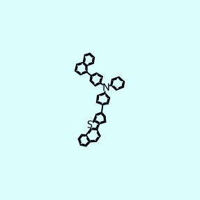 c1ccc(N(c2ccc(-c3ccc4c(c3)sc3c5ccccc5ccc43)cc2)c2ccc(-c3cccc4ccccc34)cc2)cc1